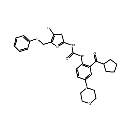 O=C(Nc1nc(CSc2ccccc2)c(Cl)s1)Nc1ccc(N2CCOCC2)cc1C(=O)C1CCCC1